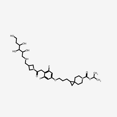 CC(C)OC(=O)N1CCC2(CC1)CC2CCCOc1cc(F)c(CC(=O)N2CC(CNCC(O)C(O)C(O)CCO)C2)c(F)c1